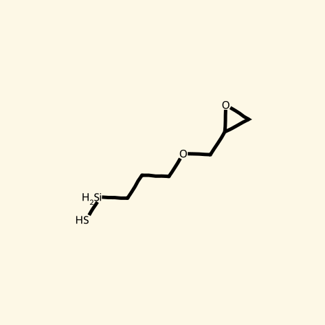 S[SiH2]CCCOCC1CO1